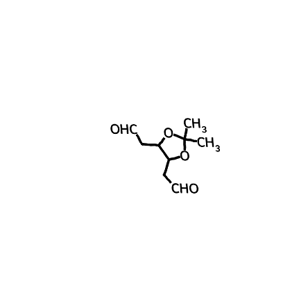 CC1(C)OC(CC=O)C(CC=O)O1